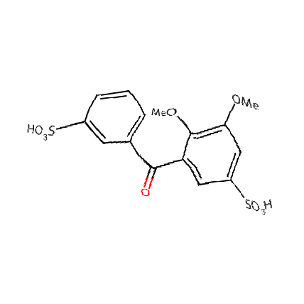 COc1cc(S(=O)(=O)O)cc(C(=O)c2cccc(S(=O)(=O)O)c2)c1OC